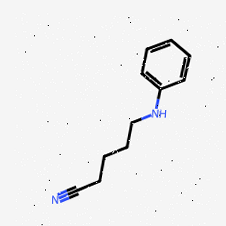 N#CCCCCNc1ccccc1